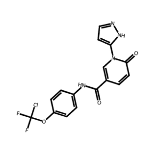 O=C(Nc1ccc(OC(F)(F)Cl)cc1)c1ccc(=O)n(-c2ccn[nH]2)c1